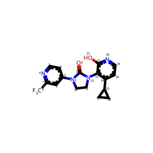 O=C1N(c2ccnc(C(F)(F)F)c2)CCN1c1c(C2CC2)ccnc1O